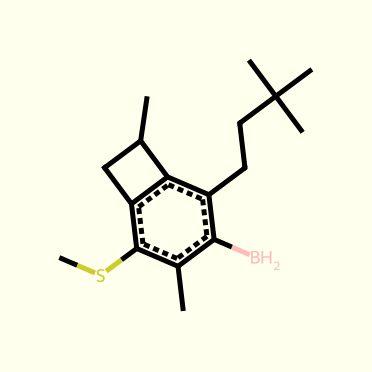 Bc1c(C)c(SC)c2c(c1CCC(C)(C)C)C(C)C2